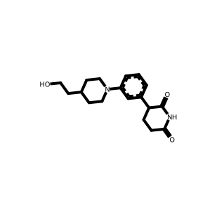 O=C1CCC(c2cccc(N3CCC(CCO)CC3)c2)C(=O)N1